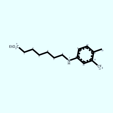 CCOC(=O)CCCCCCNc1ccc(C)c(C(F)(F)F)c1